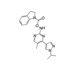 Cc1cnc(NOC(=O)N2CCc3ccccc32)nc1-c1cnn(C(C)C)c1